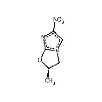 C[C@@H]1Cn2cc([N+](=O)[O-])nc2O1